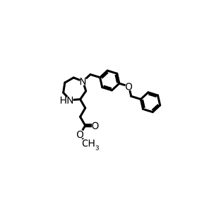 COC(=O)CCC1CN(Cc2ccc(OCc3ccccc3)cc2)CCCN1